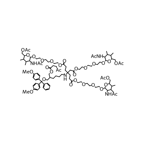 COc1ccc(C(OCC(CCCCNC(CCC(=O)OCCOCCOCCOC2OC(COC(C)=O)C(C)C(C)C2NC(C)=O)(CCC(=O)OCCOCCOCCOC2OC(COC(C)=O)C(C)C(C)C2NC(C)=O)CC(=O)OCCOCCOCCOC2OC(COC(C)=O)C(C)C(C)C2NC(C)=O)COC(=O)CCC(C)=O)(c2ccccc2)c2ccc(OC)cc2)cc1